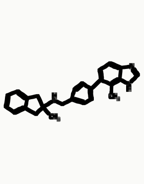 Cc1c(-c2ccc(CNC3(C)Cc4ccccc4C3)cc2)ccc2nc[nH]c12